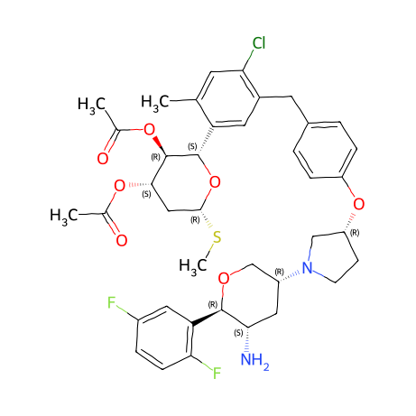 CS[C@@H]1C[C@H](OC(C)=O)[C@@H](OC(C)=O)[C@H](c2cc(Cc3ccc(O[C@@H]4CCN([C@H]5CO[C@H](c6cc(F)ccc6F)[C@@H](N)C5)C4)cc3)c(Cl)cc2C)O1